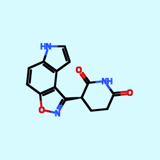 O=C1CC[C@@H](c2noc3ccc4[nH]ccc4c23)C(=O)N1